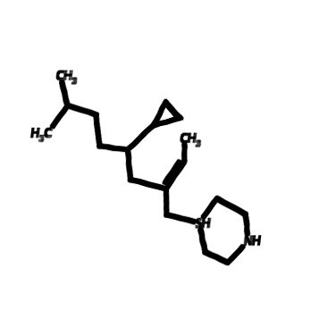 CC=C(CC(CCC(C)C)C1CC1)C[SH]1CCNCC1